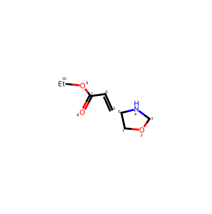 C1COCN1.C=CC(=O)OCC